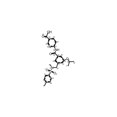 Cc1ccc(S(=O)(=O)N(C)Cc2cc(OC(C)C)cc(C(=O)Nc3ccc(C(=O)O)cn3)c2)cc1